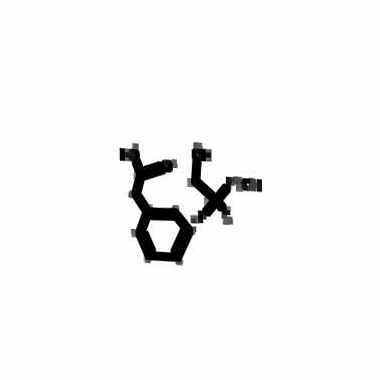 Cl.O=C(O)Cc1ccccc1.OCC(F)(F)F